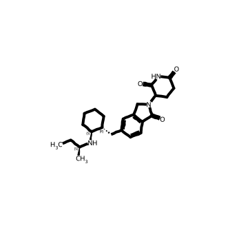 CC[C@H](C)N[C@H]1CCCC[C@@H]1Cc1ccc2c(c1)CN(C1CCC(=O)NC1=O)C2=O